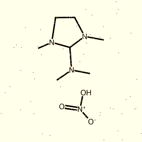 CN(C)C1N(C)CCN1C.O=[N+]([O-])O